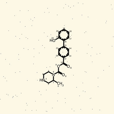 CC1CNCCN1C(=O)OC(=O)c1ccc(-c2ccccc2O)cc1